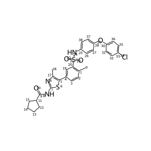 Cc1ccc(-c2sc(NC(=O)C3CCCC3)nc2C)cc1S(=O)(=O)Nc1ccc(Oc2ccc(Cl)cc2)cc1